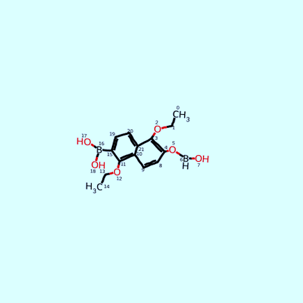 CCOc1c(OBO)ccc2c(OCC)c(B(O)O)ccc12